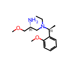 CCN(C[C@@H](N)COC)[C@@H](C)c1ccccc1OC